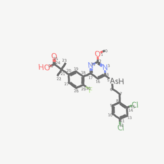 COc1nc([AsH]CCc2ccc(Cl)cc2Cl)cc(-c2cc(C(C)(C)C(=O)O)ccc2F)n1